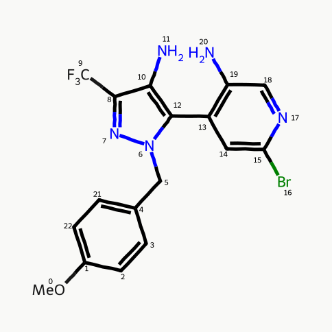 COc1ccc(Cn2nc(C(F)(F)F)c(N)c2-c2cc(Br)ncc2N)cc1